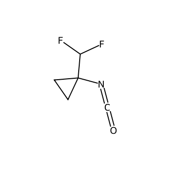 O=C=NC1(C(F)F)CC1